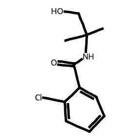 CC(C)(CO)NC(=O)c1ccccc1Cl